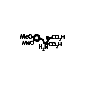 COc1ccc(CCC(N)(C(=O)O)C2CC2C(=O)O)cc1OC